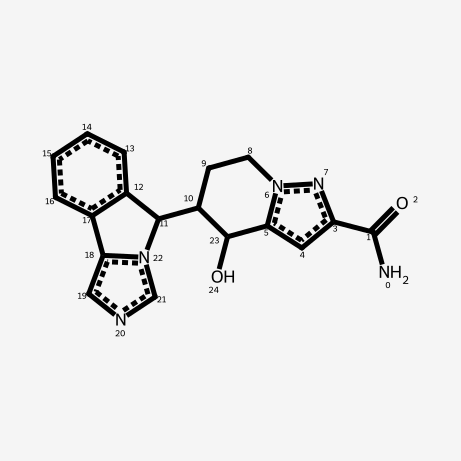 NC(=O)c1cc2n(n1)CCC(C1c3ccccc3-c3cncn31)C2O